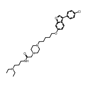 CCN(CC)CCCNC(=O)CN1CCN(CCCCCOc2ccc3c(-c4ccc(Cl)cc4)coc3c2)CC1